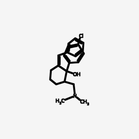 CN(C)CC1CCC/C(=C/c2ccccc2)C1(O)c1ccc(Cl)cc1